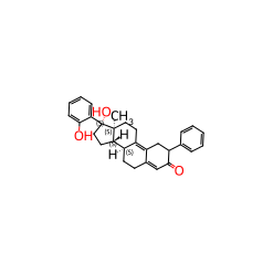 C[C@]12CCC3=C4CC(c5ccccc5)C(=O)C=C4CC[C@H]3[C@@H]1CC[C@@]2(O)c1ccccc1O